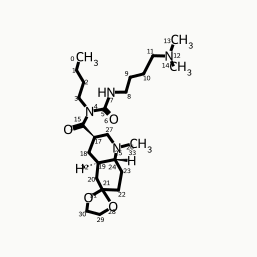 CCCCN(C(=O)NCCCCN(C)C)C(=O)[C@@H]1C[C@@H]2CC3(CC[C@H]2N(C)C1)OCCO3